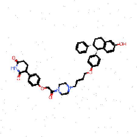 O=C1CCC(c2ccc(OCC(=O)N3CCN(CCCCOc4ccc([C@H]5c6ccc(O)cc6CC[C@H]5c5ccccc5)cc4)CC3)cc2)C(=O)N1